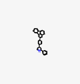 c1ccc(-c2cc(-c3ccc(-c4cc5c6c(cccc6c4)-c4ccccc4-5)cc3)ccn2)cc1